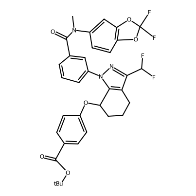 CN(C(=O)c1cccc(-n2nc(C(F)F)c3c2C(Oc2ccc(C(=O)OC(C)(C)C)cc2)CCC3)c1)c1ccc2c(c1)OC(F)(F)O2